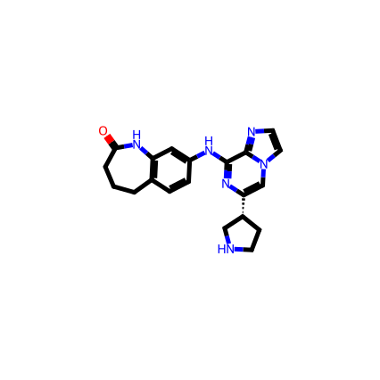 O=C1CCCc2ccc(Nc3nc([C@@H]4CCNC4)cn4ccnc34)cc2N1